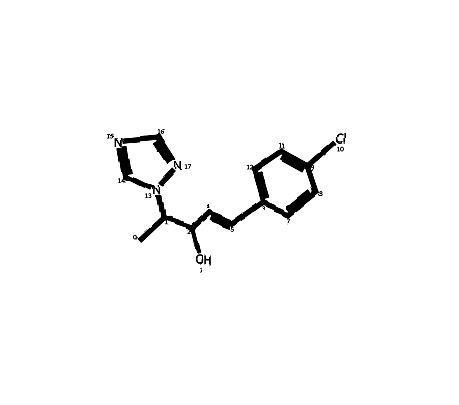 CC(C(O)C=Cc1ccc(Cl)cc1)n1cncn1